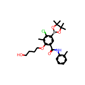 Cc1ccccc1NC(=O)c1cc(B2OC(C)(C)C(C)(C)O2)c(Cl)c(C)c1OCCCCO